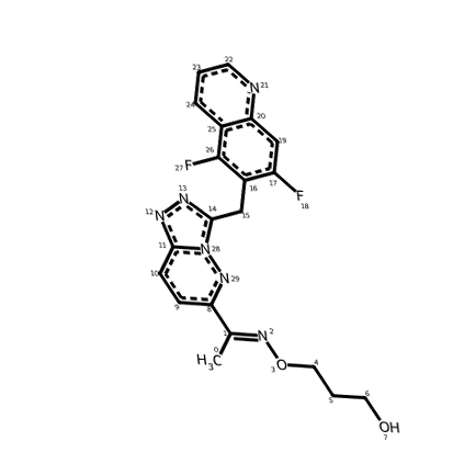 CC(=NOCCCO)c1ccc2nnc(Cc3c(F)cc4ncccc4c3F)n2n1